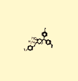 CCc1ccc(C(c2ccc(F)cc2)C2CC(O)C(N(N)Cc3ccc(OC)cc3)CO2)cc1